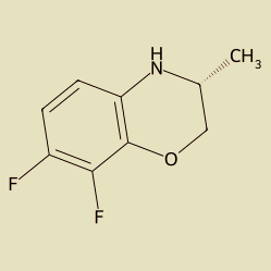 C[C@@H]1COc2c(ccc(F)c2F)N1